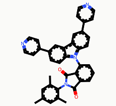 Cc1cc(C)c(N2C(=O)c3cccc(-n4c5ccc(-c6ccncc6)cc5c5cc(-c6ccncc6)ccc54)c3C2=O)c(C)c1